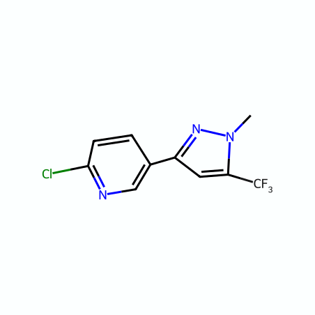 Cn1nc(-c2ccc(Cl)nc2)cc1C(F)(F)F